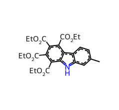 CCOC(=O)c1c(C(=O)OCC)c(C(=O)OCC)c2c([nH]c3cc(C)ccc32)c1C(=O)OCC